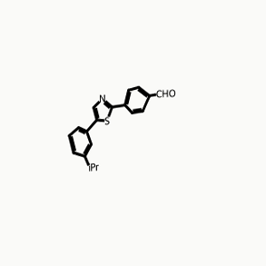 CC(C)c1cccc(-c2cnc(-c3ccc(C=O)cc3)s2)c1